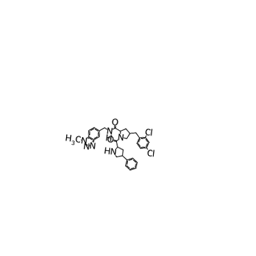 Cn1nnc2cc(CNC(=O)C3CC(Cc4ccc(Cl)cc4Cl)CN3C(=O)C3CC(c4ccccc4)CN3)ccc21